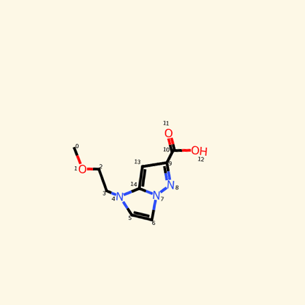 COCCn1ccn2nc(C(=O)O)cc12